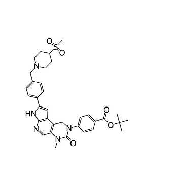 CN1C(=O)N(c2ccc(C(=O)OC(C)(C)C)cc2)Cc2c1cnc1[nH]c(-c3ccc(CN4CCC(S(C)(=O)=O)CC4)cc3)cc21